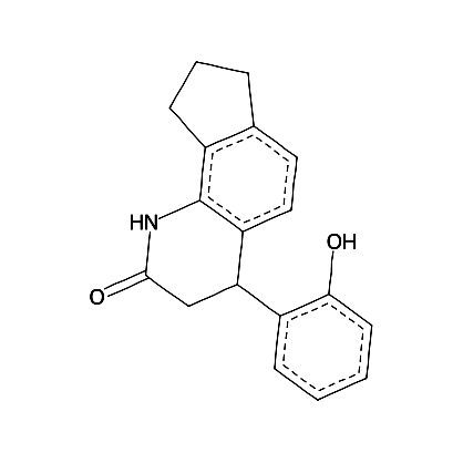 O=C1CC(c2ccccc2O)c2ccc3c(c2N1)CCC3